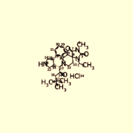 CCN1C(=O)N(C)C(=O)C12CCN(C(C(=O)CC(C)(C)C)[C@@H]1CNC[C@@H]1c1ccccc1)CC2.Cl